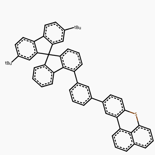 CC(C)(C)c1ccc2c(c1)C1(c3cc(C(C)(C)C)ccc3-2)c2ccccc2-c2c(-c3cccc(-c4ccc5c(c4)-c4cccc6cccc(c46)S5)c3)cccc21